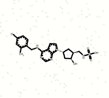 Cc1cc(Cl)ccc1CNc1ncnc2c1ccn2[C@@H]1C[C@@H](CNS(=O)(=O)O)[C@@H](O)C1